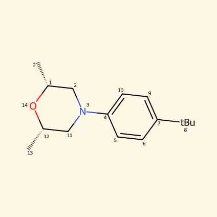 C[C@@H]1CN(c2ccc(C(C)(C)C)cc2)C[C@H](C)O1